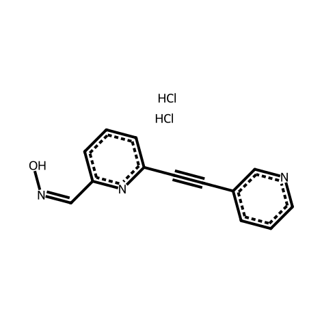 Cl.Cl.O/N=C\c1cccc(C#Cc2cccnc2)n1